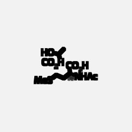 CC(O)C(=O)O.CSCC[C@H](NC(C)=O)C(=O)O